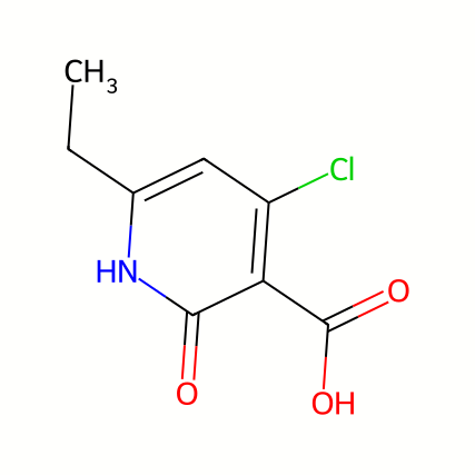 CCc1cc(Cl)c(C(=O)O)c(=O)[nH]1